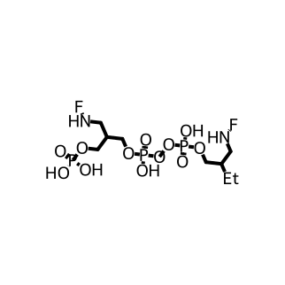 CCC(CNF)COP(=O)(O)OOP(=O)(O)OCC(CNF)COP(=O)(O)O